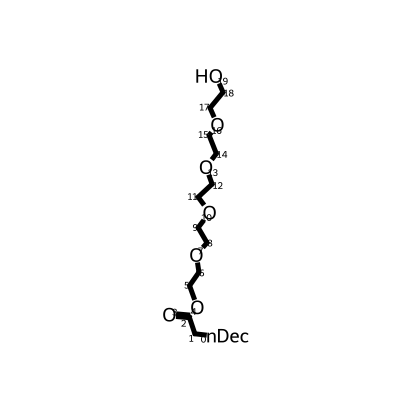 CCCCCCCCCCCC(=O)OCCOCCOCCOCCOCCO